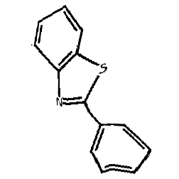 [c]1cccc2sc(-c3ccccc3)nc12